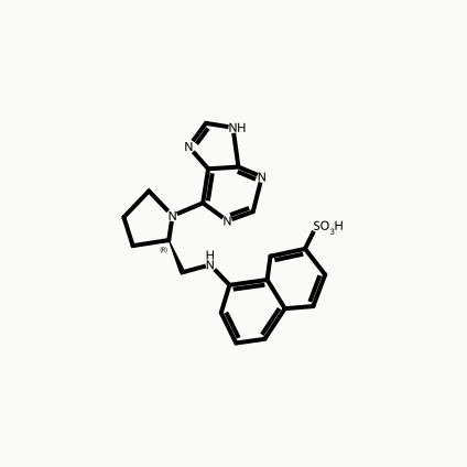 O=S(=O)(O)c1ccc2cccc(NC[C@H]3CCCN3c3ncnc4[nH]cnc34)c2c1